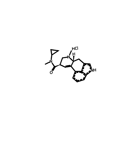 CN(C(=O)[C@@H]1C=C2c3cccc4[nH]cc(c34)C[C@H]2N(C)C1)C1CC1.Cl